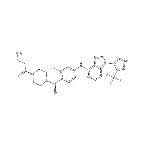 NCCC(=O)N1CCN(C(=O)c2ccc(Nc3nccn4c(-c5c[nH]nc5C(F)(F)F)cnc34)cc2Cl)CC1